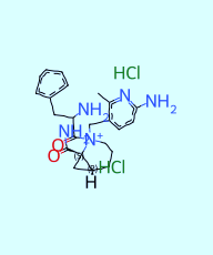 Cc1nc(N)ccc1C[N+]1(C(=O)C(N)Cc2ccccc2)CCC[C@@H]2C[C@@]21C(N)=O.Cl.Cl